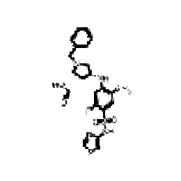 Cc1cc(S(=O)(=O)Nc2cscn2)c(F)cc1N[C@@H]1CCN(Cc2ccccc2)C1.O=CO